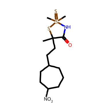 CC1(CCC2CCCC([N+](=O)[O-])CC2)SS(C)(C)(=S)NC1=O